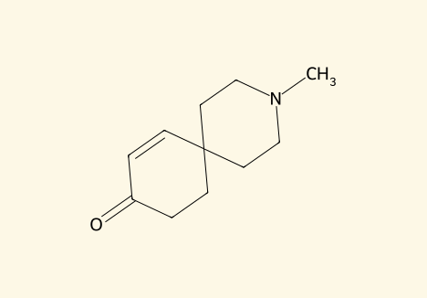 CN1CCC2(C=CC(=O)CC2)CC1